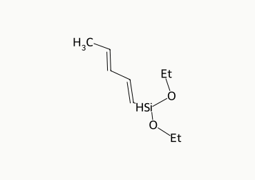 CC=CC=C[SiH](OCC)OCC